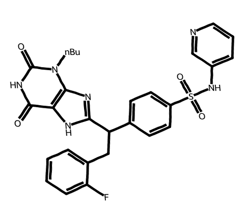 CCCCn1c(=O)[nH]c(=O)c2[nH]c(C(Cc3ccccc3F)c3ccc(S(=O)(=O)Nc4cccnc4)cc3)nc21